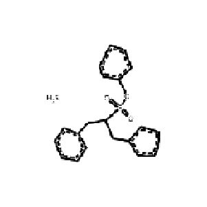 O=S(=O)(Oc1ccccc1)C(Cc1ccccc1)Cc1ccccc1.S